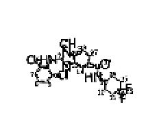 Cn1c(Nc2c(Cl)cccc2Cl)nc2cc(C(=O)NC3CCC(F)(F)CC3)ccc21